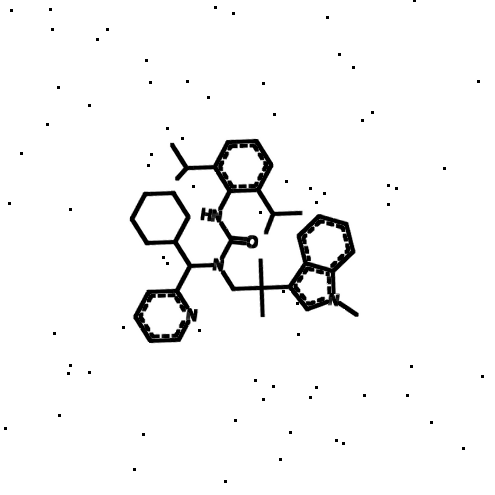 CC(C)c1cccc(C(C)C)c1NC(=O)N(CC(C)(C)c1cn(C)c2ccccc12)C(c1ccccn1)C1CCCCC1